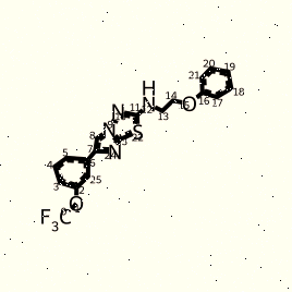 FC(F)(F)Oc1cccc(-c2cn3nc(NCCOc4ccccc4)sc3n2)c1